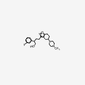 CN1CCN(C2CCc3onc(CCC(CO)c4cccc(F)c4)c3C2)CC1